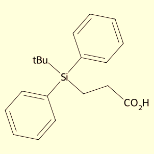 CC(C)(C)[Si](CCC(=O)O)(c1ccccc1)c1ccccc1